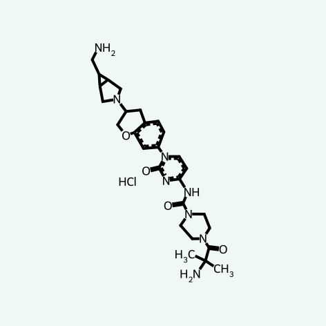 CC(C)(N)C(=O)N1CCN(C(=O)Nc2ccn(-c3ccc4c(c3)OCC(N3CC5C(CN)C5C3)C4)c(=O)n2)CC1.Cl